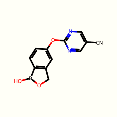 N#Cc1cnc(Oc2ccc3c(c2)COB3O)nc1